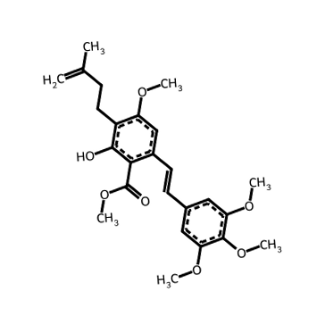 C=C(C)CCc1c(OC)cc(/C=C/c2cc(OC)c(OC)c(OC)c2)c(C(=O)OC)c1O